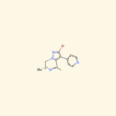 CC1=N[C@H](C(C)(C)C)Cn2nc(Br)c(-c3ccncc3)c21